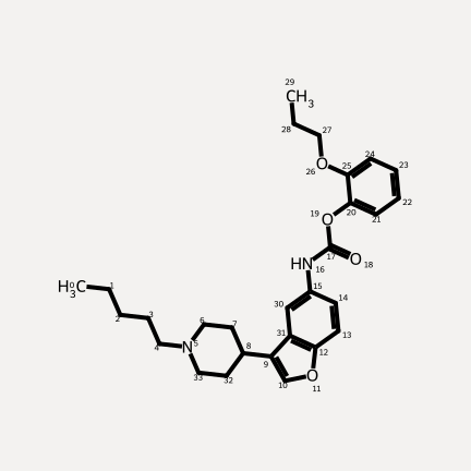 CCCCCN1CCC(c2coc3ccc(NC(=O)Oc4ccccc4OCCC)cc23)CC1